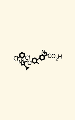 Cc1cc(OCc2c(C3CC3)cnn2-c2c(Cl)cccc2Cl)ccc1-c1ccc2c(C(=O)O)cn(C)c2c1